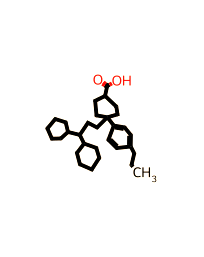 CCCc1ccc(C2(CCC(C3CCCCC3)C3CCCCC3)CCC(C(=O)O)CC2)cc1